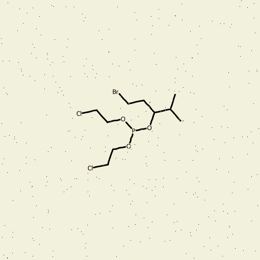 [CH2]C(C)C(CCBr)OP(OCCCl)OCCCl